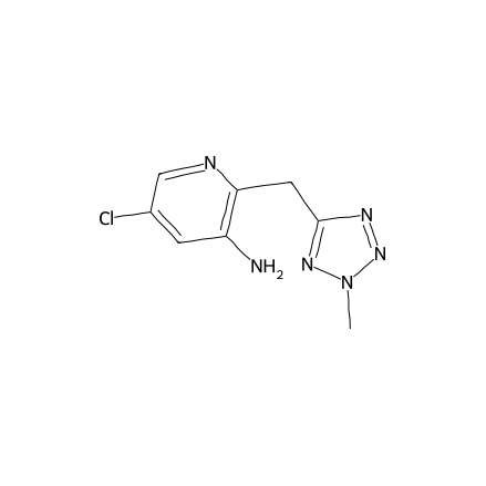 Cn1nnc(Cc2ncc(Cl)cc2N)n1